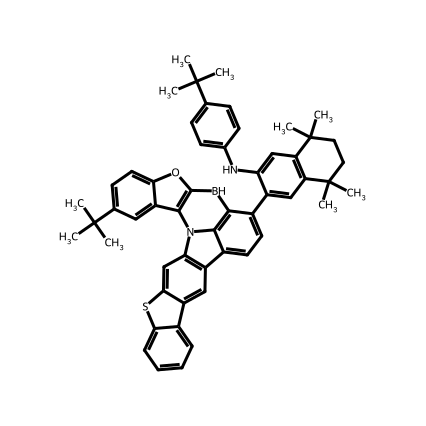 CC(C)(C)c1ccc(Nc2cc3c(cc2-c2ccc4c5cc6c(cc5n5c4c2Bc2oc4ccc(C(C)(C)C)cc4c2-5)sc2ccccc26)C(C)(C)CCC3(C)C)cc1